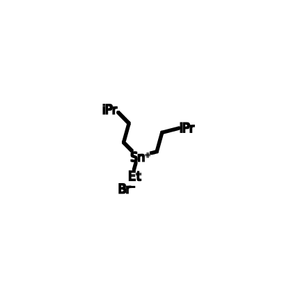 C[CH2][Sn+]([CH2]CC(C)C)[CH2]CC(C)C.[Br-]